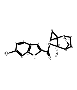 Nc1ccc2cc(C(=O)N[C@@H]3C4CCN(CC4)C34CC4)sc2c1